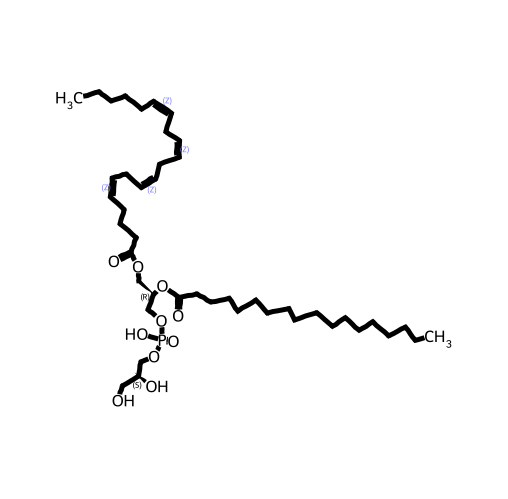 CCCCC/C=C\C/C=C\C/C=C\C/C=C\CCCC(=O)OC[C@H](COP(=O)(O)OC[C@@H](O)CO)OC(=O)CCCCCCCCCCCCCCCCC